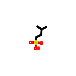 CC(C)CCS(=O)(=O)O